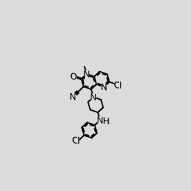 Cn1c(=O)c(C#N)c(N2CCC(Nc3ccc(Cl)cc3)CC2)c2nc(Cl)ccc21